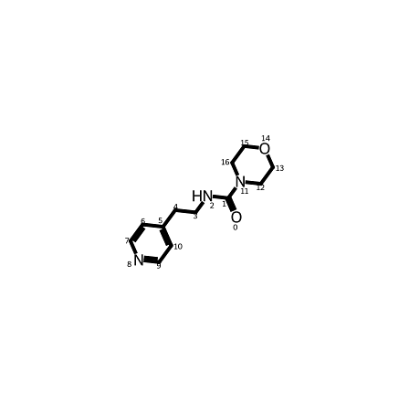 O=C(NCCc1ccncc1)N1CCOCC1